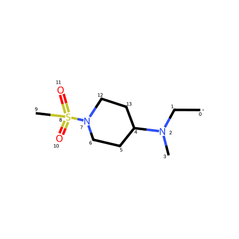 [CH2]CN(C)C1CCN(S(C)(=O)=O)CC1